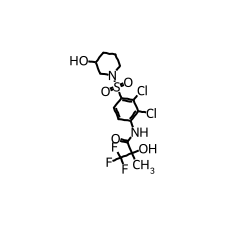 CC(O)(C(=O)Nc1ccc(S(=O)(=O)N2CCCC(O)C2)c(Cl)c1Cl)C(F)(F)F